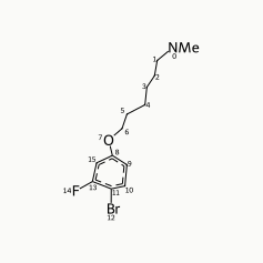 CNCCCCCCOc1ccc(Br)c(F)c1